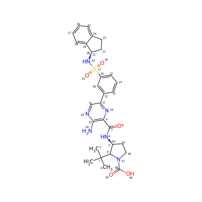 CC(C)(C)C1[C@@H](NC(=O)c2nc(-c3cccc(S(=O)(=O)N[C@@H]4CCc5ccccc54)c3)cnc2N)CCN1C(=O)O